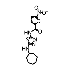 O=C(Nc1nnc(NC2CCCCCC2)s1)c1ccc([N+](=O)[O-])o1